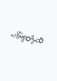 CC(C)(C)CCNC(=O)c1ccc(NC(=O)N2Cc3cccnc3C2)cc1